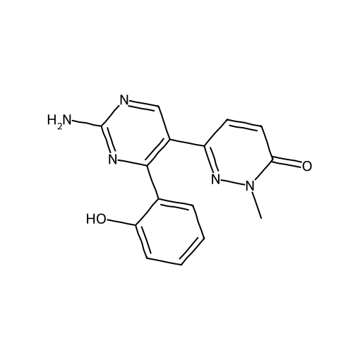 Cn1nc(-c2cnc(N)nc2-c2ccccc2O)ccc1=O